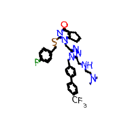 CN(C)CCNCc1nnc(Cn2c(SCc3ccc(F)cc3)nc(=O)c3c2CCC3)n1Cc1ccc(-c2ccc(C(F)(F)F)cc2)cc1